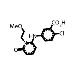 COCCn1c(Nc2ccc(Cl)c(C(=O)O)c2)cccc1=O